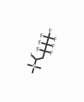 C[Si](C)(C)C(I)CC(F)(F)C(F)(F)C(F)(F)F